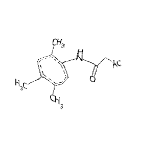 CC(=O)CC(=O)Nc1cc(C)c(C)cc1C